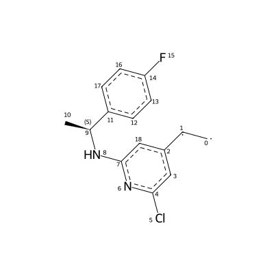 [CH2][CH]c1cc(Cl)nc(N[C@@H](C)c2ccc(F)cc2)c1